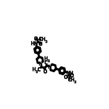 CC(C(=O)C(C)N1CCC(c2ccc(NS(C)(=O)=O)cc2)CC1)N1CCC(c2ccc(NS(C)(=O)=O)cc2)CC1